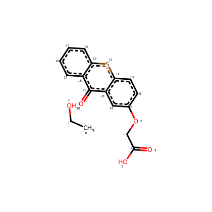 CCO.O=C(O)COc1ccc2sc3ccccc3c(=O)c2c1